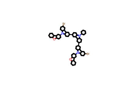 Brc1ccc2c(c1)c1cc(-c3ccc4c(c3)c3cc(-c5ccc6c(c5)c5cc(Br)ccc5n6-c5ccc6oc7ccccc7c6c5)ccc3n4-c3ccccc3)ccc1n2-c1ccc2oc3ccccc3c2c1